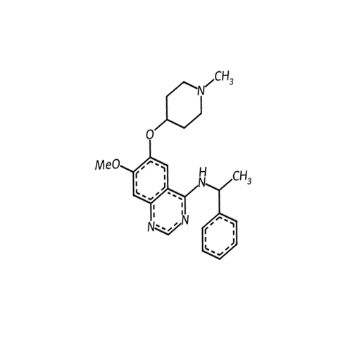 COc1cc2ncnc(NC(C)c3ccccc3)c2cc1OC1CCN(C)CC1